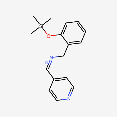 C[Si](C)(C)Oc1ccccc1C/N=C\c1ccncc1